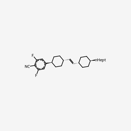 CCCCCCC[C@H]1CC[C@H](C=C[C@H]2CC[C@H](c3cc(F)c(C#N)c(F)c3)CC2)CC1